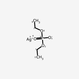 CCOP(=O)([O-])OCC.[Ag+]